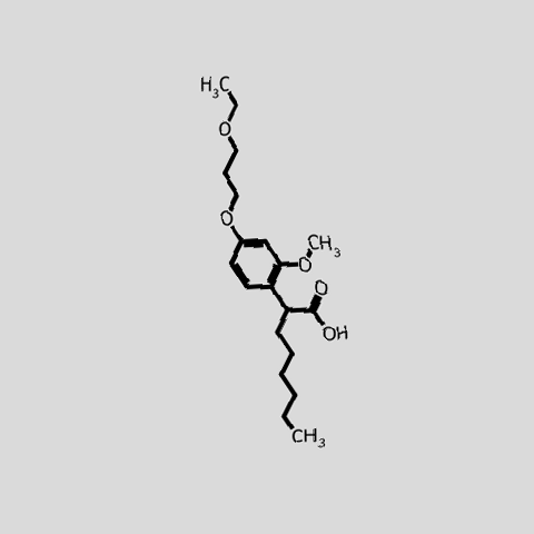 CCCCCCC(C(=O)O)c1ccc(OCCCOCC)cc1OC